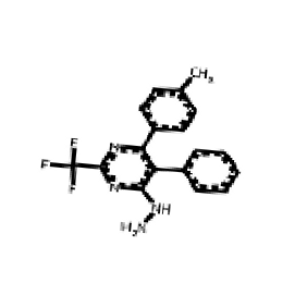 Cc1ccc(-c2nc(C(F)(F)F)nc(NN)c2-c2ccccc2)cc1